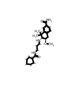 CO[C@@H]1Cc2ccc(C(N)=O)cc2C(C)(C)[C@H]1NCCCNC(=O)C1CCCCC1